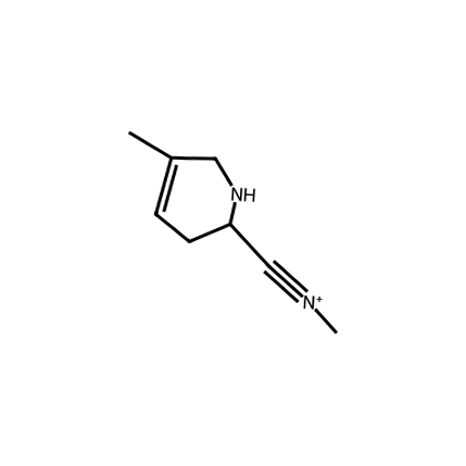 C[N+]#CC1CC=C(C)CN1